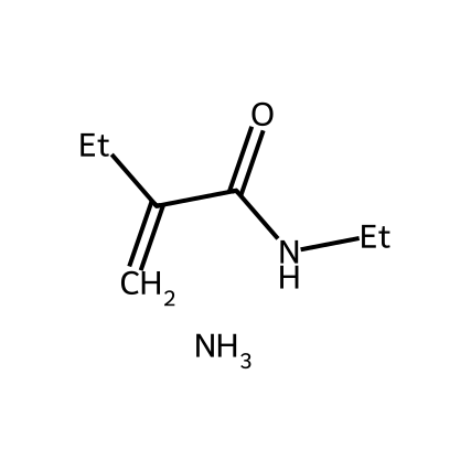 C=C(CC)C(=O)NCC.N